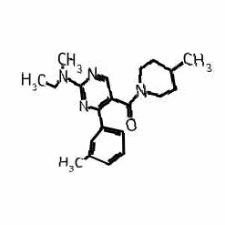 CCN(C)c1ncc(C(=O)N2CCC(C)CC2)c(-c2cccc(C)c2)n1